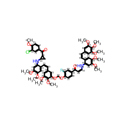 COc1ccc(C(=O)C2CC2Nc2cc(OC)c(OC)cc2/C=C\c2cc(OC)c(OC)c(OCOc3ccc(C(=O)/C=C\Nc4cc(OC)c(OC)cc4/C=C\c4cc(OC)c(OC)c(OC)c4)cc3F)c2)cc1Cl